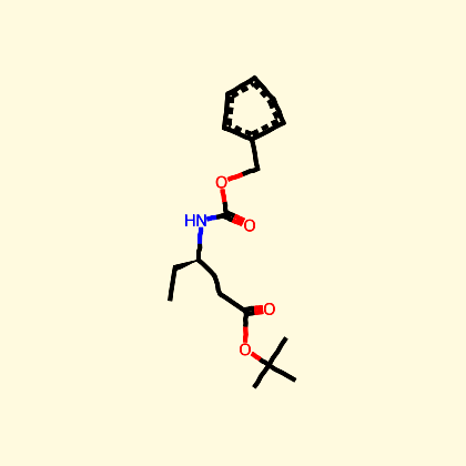 CC[C@H](CCC(=O)OC(C)(C)C)NC(=O)OCc1ccccc1